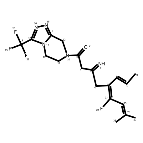 C/C=C/C(CC(=N)CC(=O)N1CCn2c(nnc2C(F)(F)F)C1)=C(/F)C=C(C)C